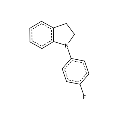 Fc1ccc(N2CCc3[c]cccc32)cc1